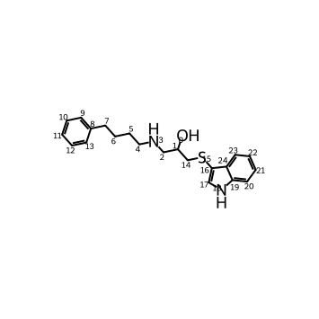 OC(CNCCCCc1ccccc1)CSc1c[nH]c2ccccc12